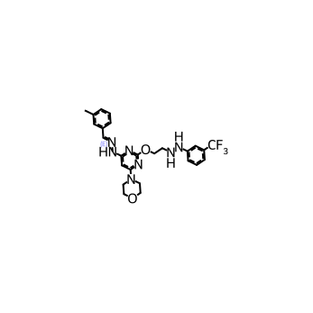 Cc1cccc(/C=N/Nc2cc(N3CCOCC3)nc(OCCNNc3cccc(C(F)(F)F)c3)n2)c1